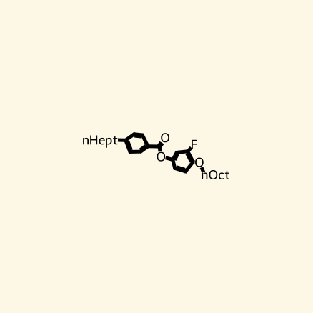 CCCCCCCCOc1ccc(OC(=O)c2ccc(CCCCCCC)cc2)cc1F